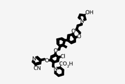 Cc1c(COc2cc(OCc3cncc(C#N)c3)c(CN3CCCC[C@H]3C(=O)O)cc2Cl)cccc1-c1ccc2c(c1)OC(CCN1CC[C@@H](O)C1)CO2